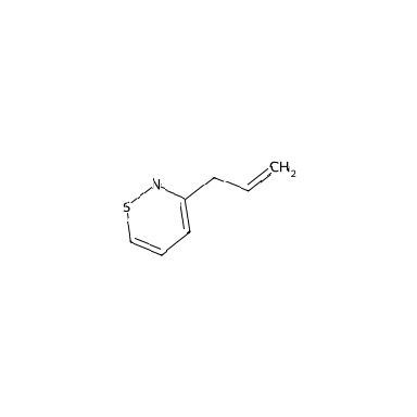 C=CCC1=CC=CS[N]1